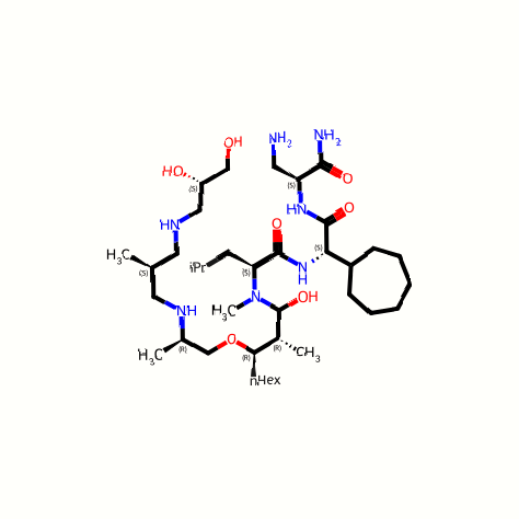 CCCCCC[C@@H](OC[C@@H](C)NC[C@@H](C)CNC[C@H](O)CO)[C@@H](C)C(O)N(C)[C@@H](CC(C)C)C(=O)N[C@H](C(=O)N[C@@H](CN)C(N)=O)C1CCCCCC1